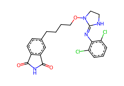 O=C1NC(=O)c2cc(CCCCON3CCNC3=Nc3c(Cl)cccc3Cl)ccc21